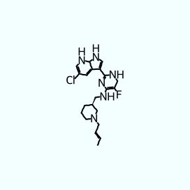 CC=CCN1CCC[C@@H](CNC2=C(F)CNC(C3=CNC4NC=C(Cl)C=C34)=N2)C1